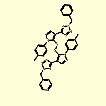 Cc1ccc(-n2ncc(-c3nnn(Cc4ccccc4)n3)c2SSc2c(-c3nnn(Cc4ccccc4)n3)cnn2-c2ccc(C)cc2)cc1